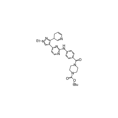 CCn1cc(-c2ccnc(Nc3ccc(C(=O)N4CCN(C(=O)OC(C)(C)C)CC4)cc3)n2)c(C2C=NC=CC2)n1